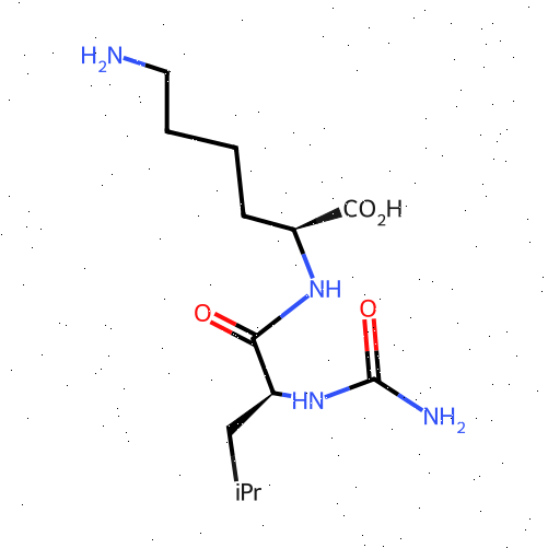 CC(C)C[C@H](NC(N)=O)C(=O)N[C@@H](CCCCN)C(=O)O